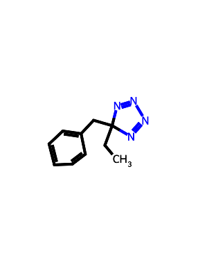 CCC1(Cc2ccccc2)N=NN=N1